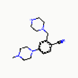 CN1CCN(c2ccc(C#N)c(CN3CCNCC3)c2)CC1